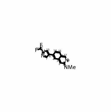 CNc1cc2cc(-c3cnn(C(F)F)c3)ccc2cn1